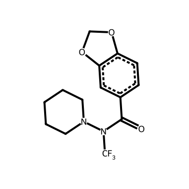 O=C(c1ccc2c(c1)OCO2)N(N1CCCCC1)C(F)(F)F